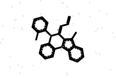 C=C/C=C1/B(c2ccccc2C)c2ccccc2-n2c1c(C)c1ccccc12